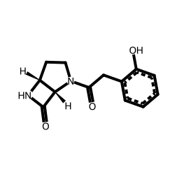 O=C1N[C@@H]2CCN(C(=O)Cc3ccccc3O)[C@H]12